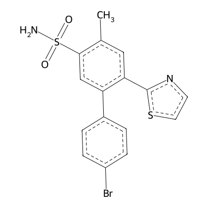 Cc1cc(-c2nccs2)c(-c2ccc(Br)cc2)cc1S(N)(=O)=O